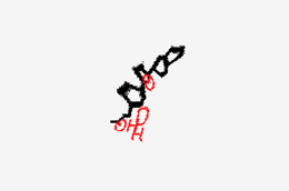 CC(O)CCc1ccc(-c2ccc(-c3ccc4c(c3)C=CC4)o2)cc1O